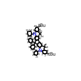 CC(C)(C)c1ccc2c(c1)C(C)(C)c1cc3c(cc1N2c1ccccc1)C(c1ccccc1)(c1ccccc1)c1cc2c(cc1-3)C(C)(C)c1cc(C(C)(C)C)ccc1N2c1ccccc1